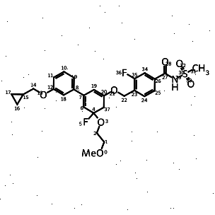 COCCOC1(F)C=C(c2cccc(OCC3CC3)c2)C=C(OCc2ccc(C(=O)NS(C)(=O)=O)cc2F)C1